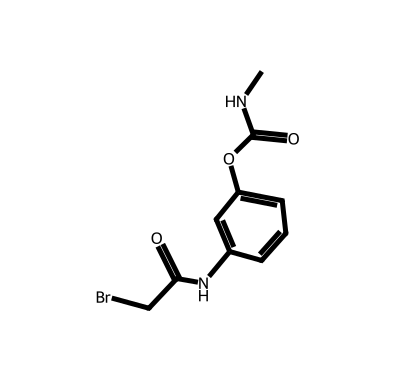 CNC(=O)Oc1cccc(NC(=O)CBr)c1